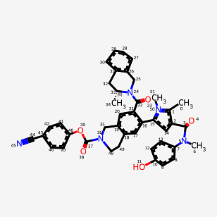 Cc1c(C(=O)N(C)c2ccc(O)cc2)cc(-c2cc3c(cc2C(=O)N2Cc4ccccc4C[C@H]2C)CN(C(=O)Oc2ccc(C#N)cc2)CC3)n1C